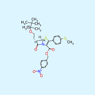 CSc1ccc(C2=C(C(=O)OCc3ccc([N+](=O)[O-])cc3)N3C(=O)[C@H](CCO[Si](C)(C)C(C)(C)C)[C@H]3S2)cc1